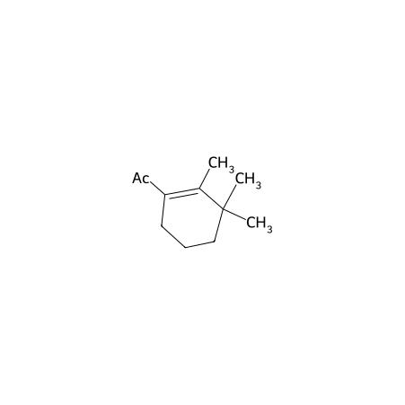 CC(=O)C1=C(C)C(C)(C)CCC1